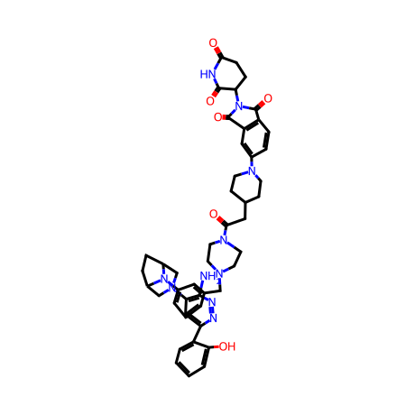 Nc1nnc(-c2ccccc2O)cc1N1CC2CCC(C1)N2c1cccc(CN2CCN(C(=O)CC3CCN(c4ccc5c(c4)C(=O)N(C4CCC(=O)NC4=O)C5=O)CC3)CC2)c1